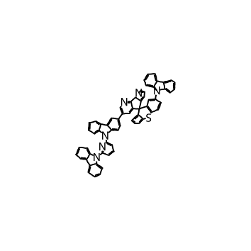 c1cc(-n2c3ccccc3c3ccccc32)nc(-n2c3ccccc3c3cc(-c4cnc5c(c4)C4(c6ccccc6Sc6ccc(-n7c8ccccc8c8ccccc87)cc64)c4cccnc4-5)ccc32)c1